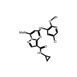 CNc1cc(Nc2cc(Cl)cnc2OC(C)C)nc2c(C(=O)NC3CC3)cnn12